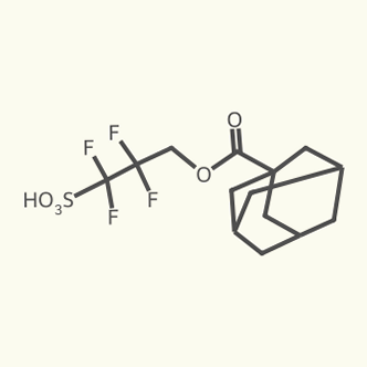 O=C(OCC(F)(F)C(F)(F)S(=O)(=O)O)C12CC3CC(CC(C3)C1)C2